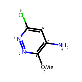 COc1nnc(Cl)cc1N